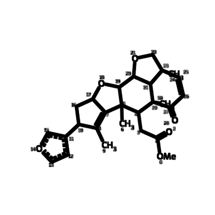 COC(=O)CC1C2(C)C3=C(C)C(c4ccoc4)CC3OC2C2OCC3(C)C=CC(=O)C1(C)C23